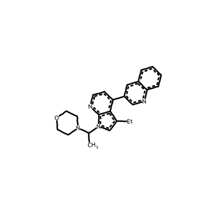 CCc1cn([C](C)N2CCOCC2)c2nccc(-c3cnc4ccccc4c3)c12